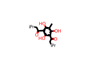 Cc1c(O)c(C(=O)CC(C)C)c(O)c(C(=O)CC(C)C)c1O